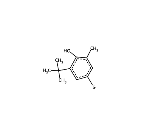 Cc1cc([S])cc(C(C)(C)C)c1O